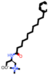 C[N+](C)(C)C[C@@H](CC(=O)[O-])NC(=O)CCCCCCCCCCc1ccccc1